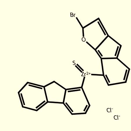 [Cl-].[Cl-].[S]=[Zr+2]([c]1cccc2c1Cc1ccccc1-2)[c]1cccc2c1=C1OC(Br)C=C1C=2